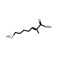 CNC(=O)/C(C)=C/CCCCC(=O)O